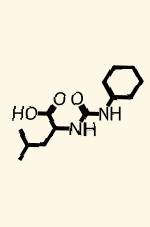 CC(C)CC(NC(=O)NC1CCCCC1)C(=O)O